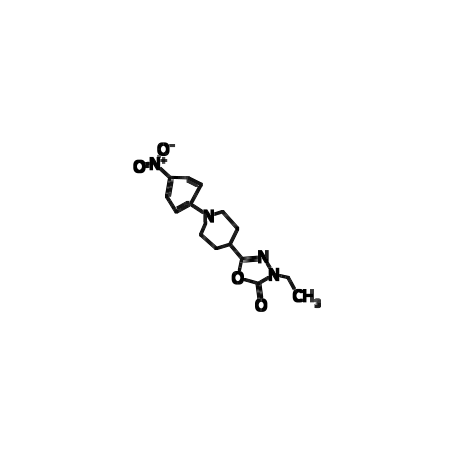 CCn1nc(C2CCN(c3ccc([N+](=O)[O-])cc3)CC2)oc1=O